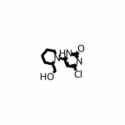 O=c1nc(Cl)cc(N2CCCCC2CO)[nH]1